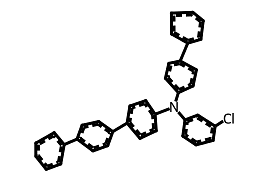 Clc1cccc(N(c2ccc(-c3ccccc3)cc2)c2ccc(-c3ccc(-c4ccccc4)cc3)cc2)c1